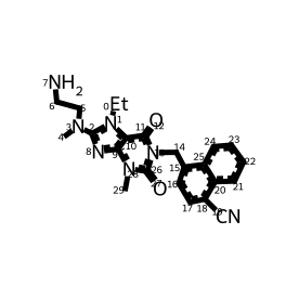 CCn1c(N(C)CCN)nc2c1c(=O)n(Cc1ccc(C#N)c3ccccc13)c(=O)n2C